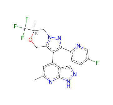 Cc1cc(-c2c(-c3ccc(F)cn3)nn3c2CO[C@@](C)(C(F)(F)F)C3)c2cn[nH]c2n1